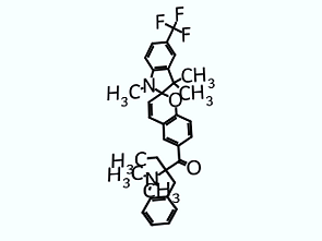 CCC(Cc1ccccc1)(C(=O)c1ccc2c(c1)C=CC1(O2)N(C)c2ccc(C(F)(F)F)cc2C1(C)C)N(C)C